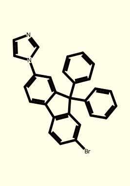 Brc1ccc2c(c1)C(c1ccccc1)(c1ccccc1)c1cc(-n3ccnc3)ccc1-2